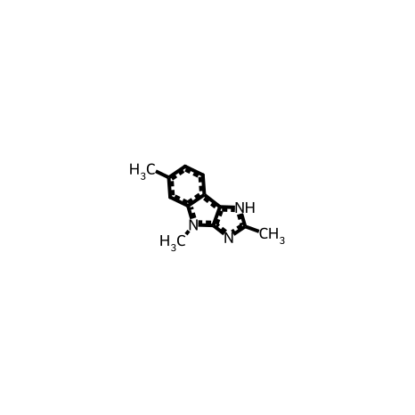 Cc1ccc2c3[nH]c(C)nc3n(C)c2c1